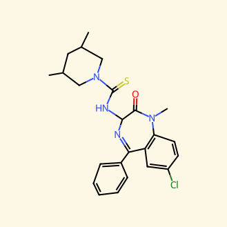 CC1CC(C)CN(C(=S)NC2N=C(c3ccccc3)c3cc(Cl)ccc3N(C)C2=O)C1